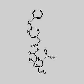 C[C@@]12C[C@@H]1N(C(=O)CNCc1ccc(Oc3ccccc3)nc1)[C@H](C(=O)O)C2